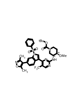 CO[C@@H]1CCN(C(=O)OC(C)(C)C)C[C@H]1Nc1ncc(C(F)(F)F)c(-c2cn(S(=O)(=O)c3ccccc3)c3cc(-c4c(C)noc4C)ccc23)n1